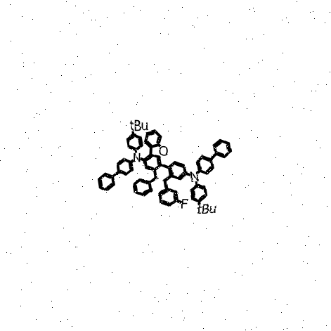 CC(C)(C)c1ccc(N(c2ccc(-c3ccccc3)cc2)c2ccc(-c3c(Cc4ccccc4)cc(N(c4ccc(-c5ccccc5)cc4)c4ccc(C(C)(C)C)cc4)c4c3oc3ccccc34)c(Cc3cccc(F)c3)c2)cc1